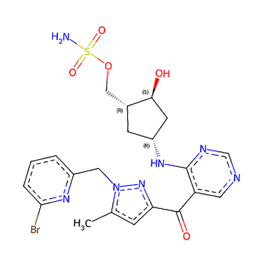 Cc1cc(C(=O)c2cncnc2N[C@@H]2C[C@H](COS(N)(=O)=O)[C@@H](O)C2)nn1Cc1cccc(Br)n1